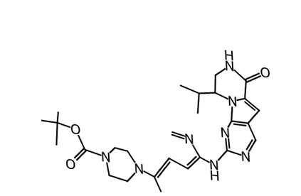 C=N/C(=C\C=C(/C)N1CCN(C(=O)OC(C)(C)C)CC1)Nc1ncc2cc3n(c2n1)C(C(C)C)CNC3=O